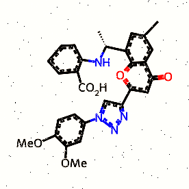 COc1ccc(-n2cc(-c3cc(=O)c4cc(C)cc([C@@H](C)Nc5ccccc5C(=O)O)c4o3)nn2)cc1OC